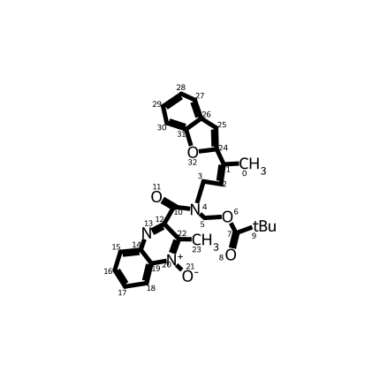 CC(=CCN(COC(=O)C(C)(C)C)C(=O)c1nc2ccccc2[n+]([O-])c1C)c1cc2ccccc2o1